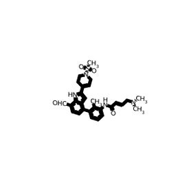 Cc1c(NC(=O)/C=C/CN(C)C)cccc1-c1ccc(C=O)c2[nH]c(C3=CCN(S(C)(=O)=O)CC3)cc12